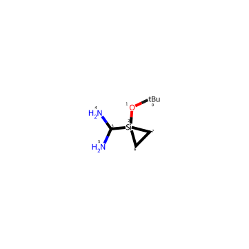 CC(C)(C)O[Si]1(C(N)N)CC1